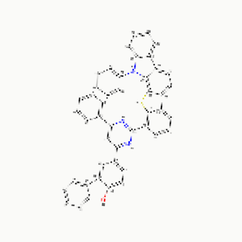 c1ccc(-c2cc(-c3ccc4oc5ccccc5c4c3)nc(-c3cccc4c3sc3c4ccc4c5ccccc5n(-c5ccccc5)c43)n2)cc1